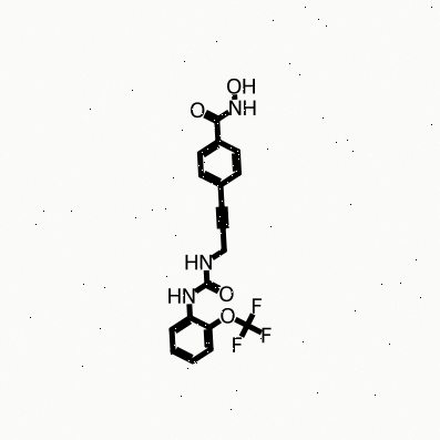 O=C(NCC#Cc1ccc(C(=O)NO)cc1)Nc1ccccc1OC(F)(F)F